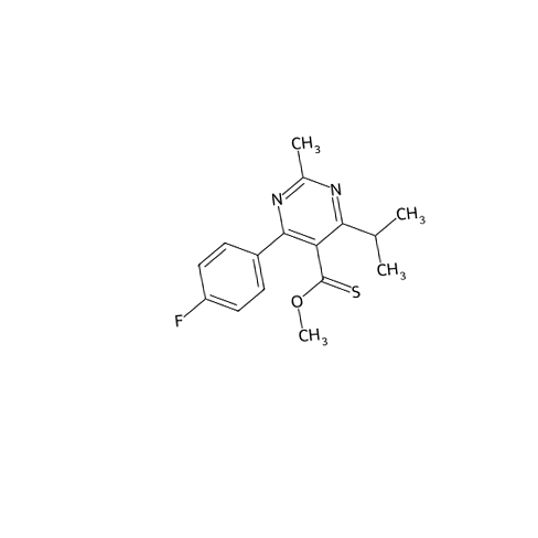 COC(=S)c1c(-c2ccc(F)cc2)nc(C)nc1C(C)C